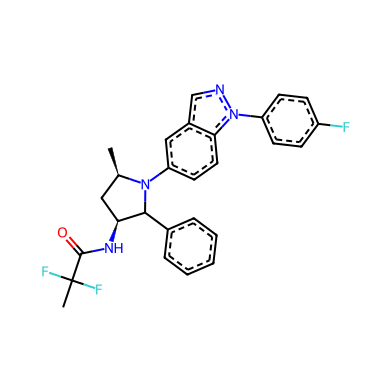 C[C@@H]1C[C@H](NC(=O)C(C)(F)F)C(c2ccccc2)N1c1ccc2c(cnn2-c2ccc(F)cc2)c1